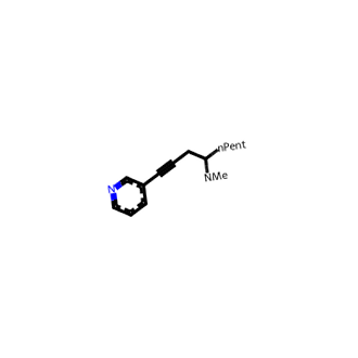 CCCCCC(CC#Cc1cccnc1)NC